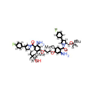 COc1cc(C(=O)N2C=C(c3ccc(F)cc3)C[C@H]2CCC(C)(C)[Si](C)(C)O)c(N)cc1OCCCOc1cc(N)c(C(=O)N2C=C(c3ccc(F)cc3)C[C@H]2CO[Si](C)(C)C(C)(C)C)cc1OC